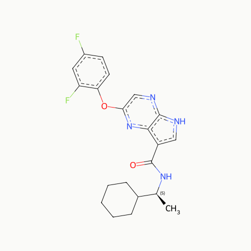 C[C@H](NC(=O)c1c[nH]c2ncc(Oc3ccc(F)cc3F)nc12)C1CCCCC1